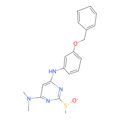 CN(C)c1cc(Nc2cccc(OCc3ccccc3)c2)nc([S+](C)[O-])n1